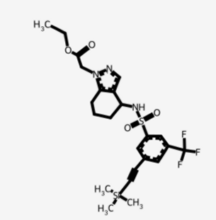 CCOC(=O)Cn1ncc2c1CCCC2NS(=O)(=O)c1cc(C#C[Si](C)(C)C)cc(C(F)(F)F)c1